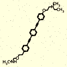 CCN(C)CCOc1ccc(C#Cc2ccc(C#Cc3ccc(CCOCNC)cc3)cc2)cc1